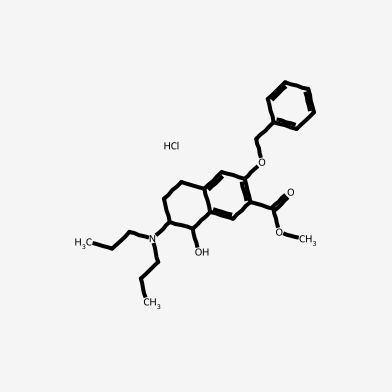 CCCN(CCC)C1CCc2cc(OCc3ccccc3)c(C(=O)OC)cc2C1O.Cl